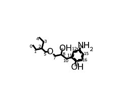 CCC(CC)COCC(O)Cc1cc(N)ccc1O